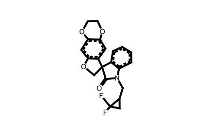 O=C1N(CC2CC2(F)F)c2ccccc2C12COc1cc3c(cc12)OCCO3